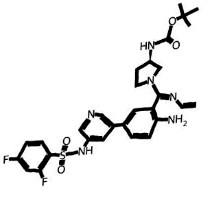 C=C/N=C(\c1cc(-c2cncc(NS(=O)(=O)c3ccc(F)cc3F)c2)ccc1N)N1CC[C@@H](NC(=O)OC(C)(C)C)C1